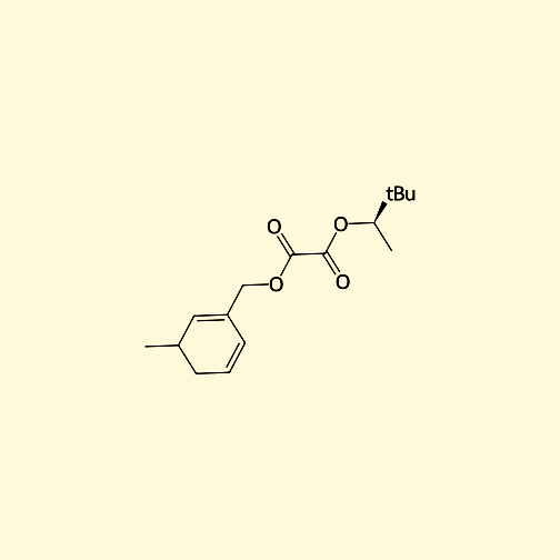 CC1C=C(COC(=O)C(=O)O[C@H](C)C(C)(C)C)C=CC1